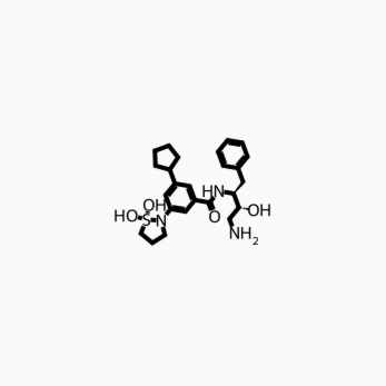 NC[C@@H](O)[C@H](Cc1ccccc1)NC(=O)c1cc(C2CCCC2)cc(N2CCCS2(O)O)c1